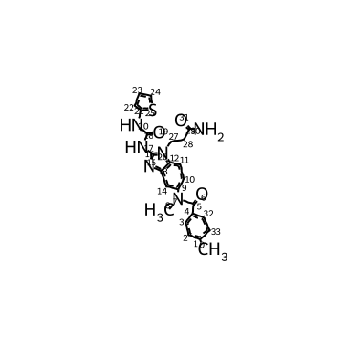 Cc1ccc(C(=O)N(C)c2ccc3c(c2)nc(NC(=O)Nc2cccs2)n3CCC(N)=O)cc1